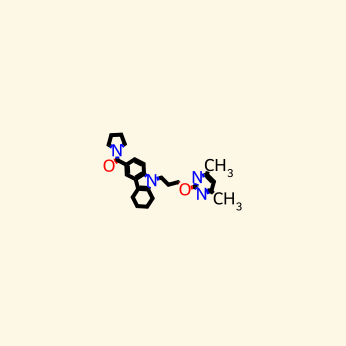 Cc1cc(C)nc(OCCCn2c3c(c4cc(C(=O)N5CCCC5)ccc42)CCCC3)n1